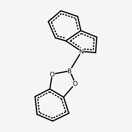 c1ccc2c(c1)OB(n1ccc3ccccc31)O2